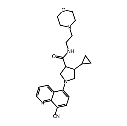 N#Cc1ccc(N2CC(C(=O)NCCN3CCOCC3)C(C3CC3)C2)c2cccnc12